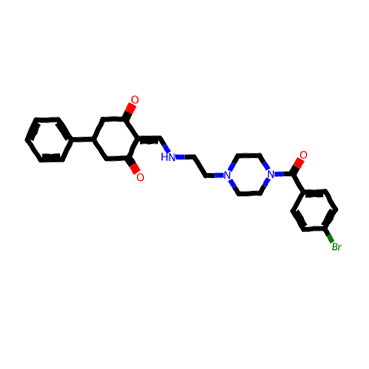 O=C1CC(c2ccccc2)CC(=O)C1=CNCCN1CCN(C(=O)c2ccc(Br)cc2)CC1